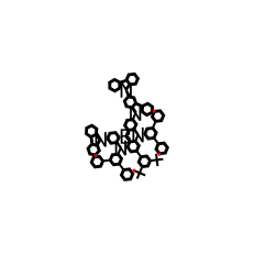 CC(C)(C)c1cc(-c2cc3c4c(c2)N(c2cc(-c5ccccc5)cc(-c5ccccc5)c2)c2cc(-n5c6ccccc6c6cc(-n7c8ccccc8c8ccccc87)ccc65)ccc2B4c2ccc(-n4c5ccccc5c5ccccc54)cc2N3c2cc(-c3ccccc3)cc(-c3ccccc3)c2)cc(C(C)(C)C)c1